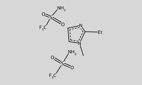 CCc1nccn1C.NS(=O)(=O)C(F)(F)F.NS(=O)(=O)C(F)(F)F